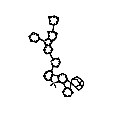 C[Si]1(C)c2cccc(-c3cccc(-c4ccc5c(c4)c4ccc(-c6ccccc6)cc4n5-c4ccccc4)n3)c2-c2ccc3c(c21)-c1ccccc1C31C2CC3CC(C2)CC1C3